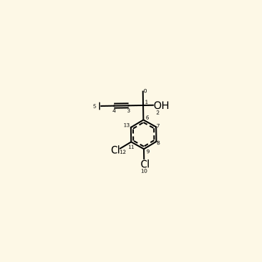 CC(O)(C#CI)c1ccc(Cl)c(Cl)c1